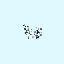 C#CC1(N)[C@@H](O)[C@@H]([C@@H](C)OP(=O)(O)OP(=O)(O)OP(=O)(O)O)O[C@H]1n1ncc(=O)[nH]c1=O